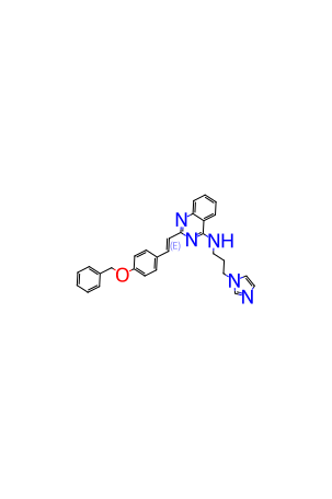 C(=C\c1nc(NCCCn2ccnc2)c2ccccc2n1)/c1ccc(OCc2ccccc2)cc1